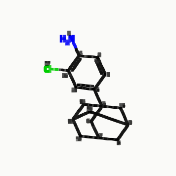 Nc1ccc(C23CC4CC(CC(C4)C2)C3)cc1Cl